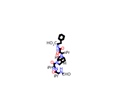 CCCC(C(=O)C(=O)N[C@H](Cc1ccccc1)C(=O)O)N1CC[C@H]2CN(C(=O)[C@@H](NC(=O)[C@H](NC=O)C(C)C)C(C)C)[C@H](C1=O)[C@H]2C